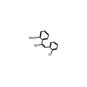 COc1ccccc1/C(C#N)=C\c1ccccc1Cl